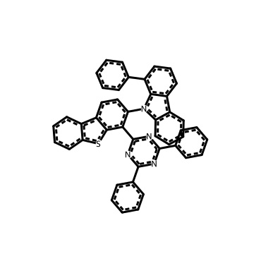 c1ccc(-c2nc(-c3ccccc3)nc(-c3c(-n4c5ccccc5c5cccc(-c6ccccc6)c54)ccc4c3sc3ccccc34)n2)cc1